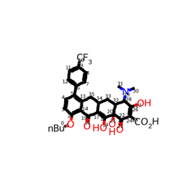 CCCCOc1ccc(-c2ccc(C(F)(F)F)cc2)c2c1C(=O)C1=C(O)C3(O)C(=O)C(C(=O)O)=C(O)C(N(C)C)C3CC1C2